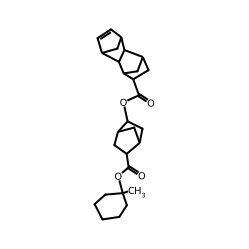 CC1(OC(=O)C2CC3CC2CC3OC(=O)C2CC3CC2C2C4C=CC(C4)C32)CCCCC1